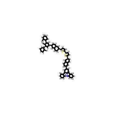 Cc1ccccc1-c1cc(-c2ccc3cc(-c4ccc(-c5ccc(-c6ccc7cc(-c8cc9c%10ccccc%10n%10c%11ccccc%11c(c8)c9%10)ccc7c6)s5)s4)ccc3c2)cc(-c2ccccc2C)c1C